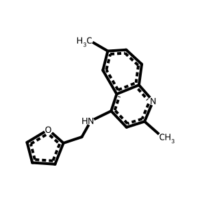 Cc1ccc2nc(C)cc(NCc3ccco3)c2c1